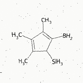 BC1=C(C)C(C)=C(C)C1[SiH3]